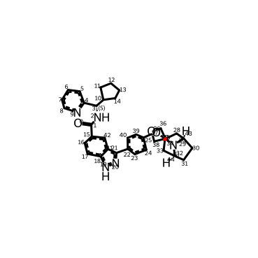 O=C(N[C@H](c1ccccn1)C1CCCC1)c1ccc2[nH]nc(-c3ccc(O[C@H]4C[C@H]5CC[C@@H](C4)N5C4COC4)cc3)c2c1